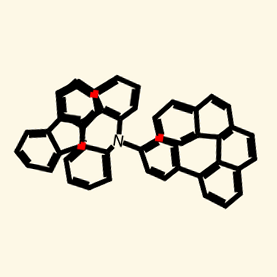 c1ccc(-c2ccccc2N(c2ccc(-c3cccc4ccc5ccc6ccccc6c5c34)cc2)c2cccc3ccc4c5ccccc5sc4c23)cc1